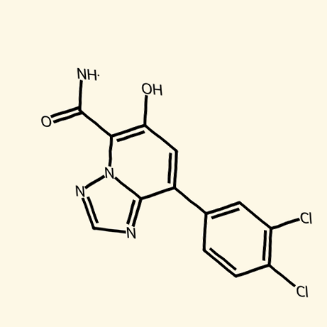 [NH]C(=O)c1c(O)cc(-c2ccc(Cl)c(Cl)c2)c2ncnn12